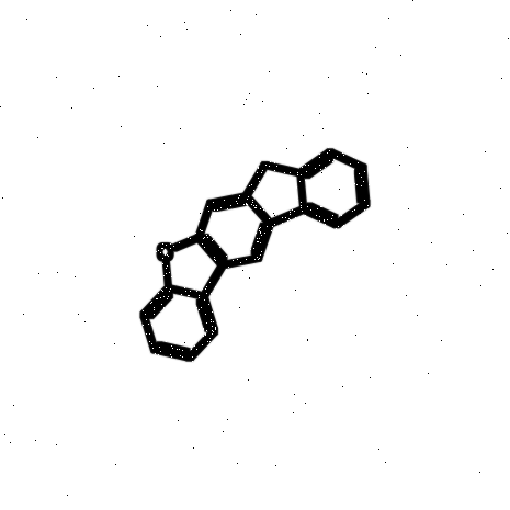 c1ccc2c(c1)Cc1cc3oc4ccccc4c3cc1-2